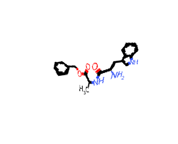 C[C@H](NC(=O)[C@@H](N)Cc1c[nH]c2ccccc12)C(=O)OCc1ccccc1